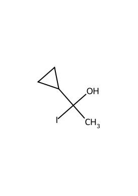 CC(O)(I)C1CC1